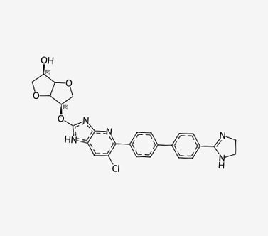 O[C@@H]1COC2C1OC[C@H]2Oc1nc2nc(-c3ccc(-c4ccc(C5=NCCN5)cc4)cc3)c(Cl)cc2[nH]1